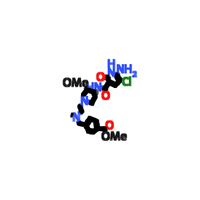 COC(=O)c1ccc(CN(C)CCN2CC[C@H](NC(=O)c3cc(Cl)c(N)[nH]c3=O)[C@H](OC)C2)cc1